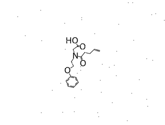 C=CCCC(=O)N(CCOc1ccccc1)CC(=O)O